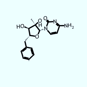 C[C@@]1(O)[C@H](O)[C@@H](Cc2cc[c]cc2)O[C@H]1n1ccc(N)nc1=O